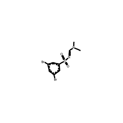 CN(C)/C=N/S(=O)(=O)c1cc(Br)cc(Br)c1